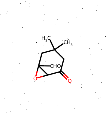 CC1(C)CC(=O)C2OC2(C=O)C1